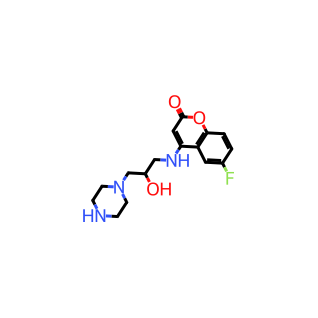 O=c1cc(NCC(O)CN2CCNCC2)c2cc(F)ccc2o1